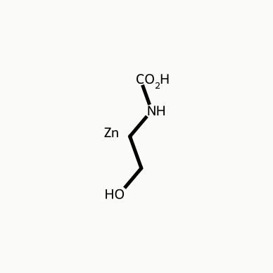 O=C(O)NCCO.[Zn]